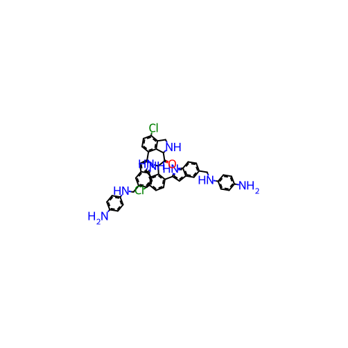 Nc1ccc(NCc2ccc3[nH]c(-c4ccc(Cl)c5c4C(C(=O)C4NCc6c(Cl)ccc(-c7cc8cc(CNc9ccc(N)cc9)ccc8[nH]7)c64)NC5)cc3c2)cc1